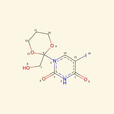 O=c1[nH]c(=O)n(C2(CO)OCCCO2)cc1I